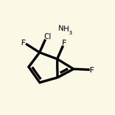 FC1=C2C=CC(F)(Cl)C12F.N